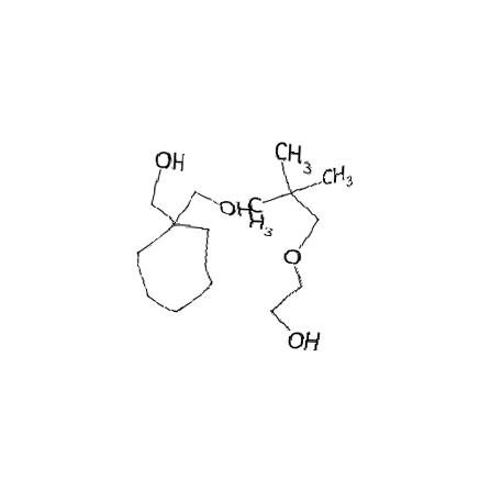 CC(C)(C)COCCO.OCC1(CO)CCCCC1